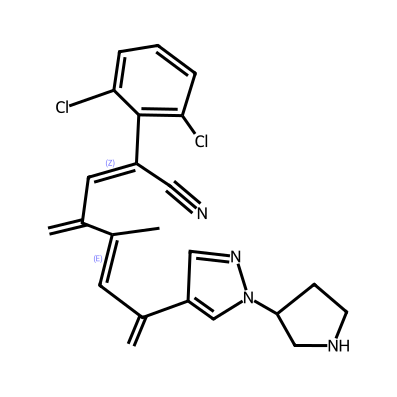 C=C(/C=C(\C#N)c1c(Cl)cccc1Cl)/C(C)=C/C(=C)c1cnn(C2CCNC2)c1